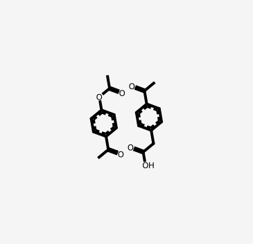 CC(=O)Oc1ccc(C(C)=O)cc1.CC(=O)c1ccc(CC(=O)O)cc1